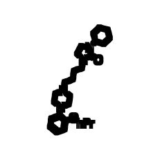 CCCOc1ccccc1N1CCN(CCCCN2CCN(C3CCCCC3)C2=O)CC1